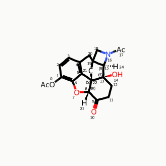 CC(=O)Oc1ccc2c3c1O[C@H]1C(=O)CC[C@@]4(O)[C@@H]5N(C(C)=O)CC5(C2)C[C@]314